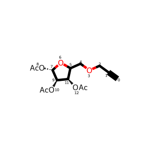 C#CCOCC1O[C@@H](OC(C)=O)[C@H](OC(C)=O)[C@@H]1OC(C)=O